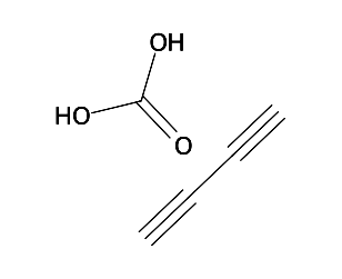 C#CC#C.O=C(O)O